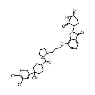 N#CC1(c2ccc(Cl)c(Cl)c2)CCN(C(=O)[C@H]2CCCN2CCCOc2cccc3c2CN(C2CCC(=O)NC2=O)C3=O)CC1